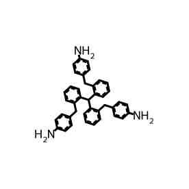 Nc1ccc(Cc2ccccc2C(c2ccccc2Cc2ccc(N)cc2)c2ccccc2Cc2ccc(N)cc2)cc1